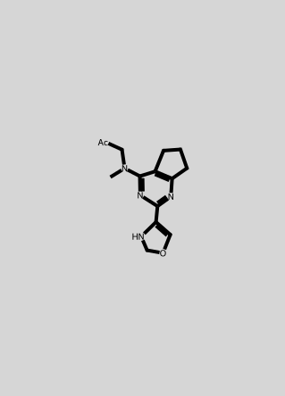 CC(=O)CN(C)c1nc(C2=COCN2)nc2c1CCC2